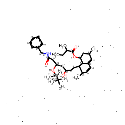 CCC(C)C(=O)OC1CC(C)C=C2C=CC(C)C(CCC(O)CC(CC(=O)NCc3ccccc3)O[Si](C)(C)C(C)(C)C)C21